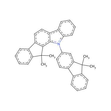 CC1(C)c2ccccc2-c2ccc(-n3c4ccccc4c4ccc5c(c43)C(C)(C)c3ccccc3-5)cc21